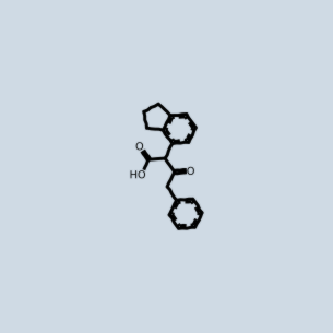 O=C(O)C(C(=O)Cc1ccccc1)c1cccc2c1CCC2